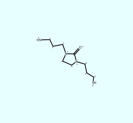 O=C1N(CCCS)CCN1CCCS